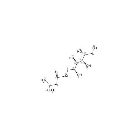 NC(CC(=O)NC[C@H](O)[C@@H](O)[C@H](O)[C@H](O)CO)C(=O)O